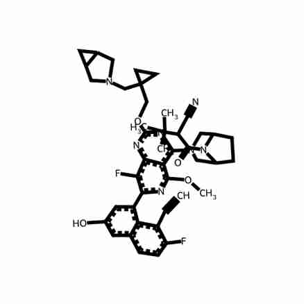 C#Cc1c(F)ccc2cc(O)cc(-c3nc(OC)c4c(N5CC6CCC(C5)N6C(=O)C(C#N)C(C)(C)C)nc(OCC5(CN6CC7CC7C6)CC5)nc4c3F)c12